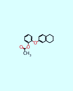 CC(=O)Oc1ccccc1Oc1ccc2c(c1)CCCC2